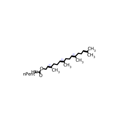 CCCCCNC(=O)OC/C=C(\C)CC/C=C(\C)CC/C=C(\C)CCC=C(C)C